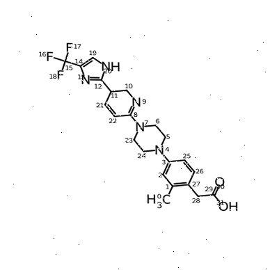 Cc1cc(N2CCN(C3=NCC(c4nc(C(F)(F)F)c[nH]4)C=C3)CC2)ccc1CC(=O)O